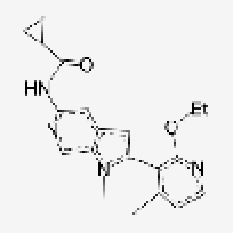 CCOc1nccc(C)c1-c1cc2cc(NC(=O)C3CC3)ncc2n1C